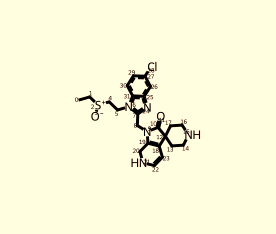 CC[S+]([O-])CCn1c(CN2C(=O)C3(CCNCC3)C3=C2CNC=C3)nc2cc(Cl)ccc21